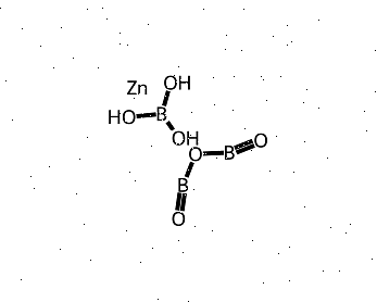 O=BOB=O.OB(O)O.[Zn]